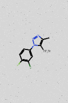 CCOC(=O)c1c(C)nnn1-c1ccc(F)c(Cl)c1